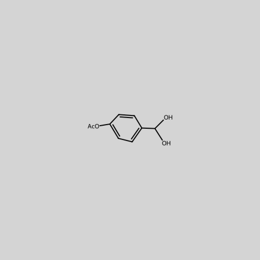 CC(=O)Oc1ccc(C(O)O)cc1